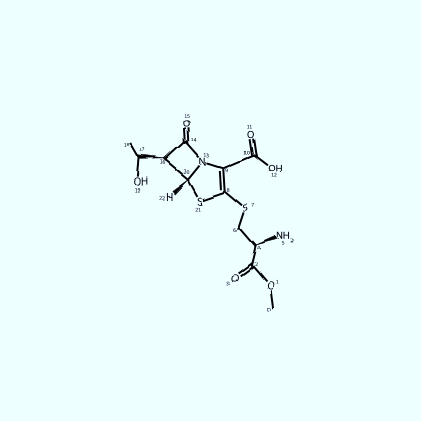 COC(=O)[C@H](N)CSC1=C(C(=O)O)N2C(=O)[C@H](C(C)O)[C@H]2S1